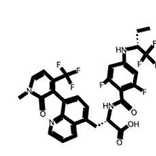 CC[C@@H](Nc1cc(F)c(C(=O)N[C@@H](Cc2ccc(-c3c(C(F)(F)F)ccn(C)c3=O)c3ncccc23)C(=O)O)c(F)c1)C(F)(F)F